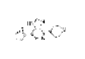 CN1CCN(c2ncc(-c3cccs3)c3[nH]cnc23)CC1